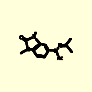 CC(=O)N(N=C(C)C)c1ccc2c(c1)n(C)c(=O)n2C